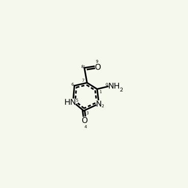 Nc1nc(=O)[nH]cc1[C]=O